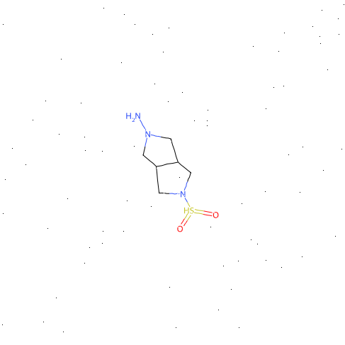 NN1CC2CN([SH](=O)=O)CC2C1